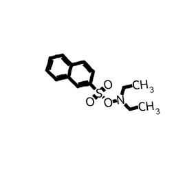 CCN(CC)OS(=O)(=O)c1ccc2ccccc2c1